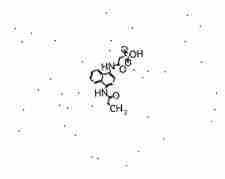 C=CC(=O)Nc1ccc(NC(=O)CS(=O)(=O)O)c2ccccc12